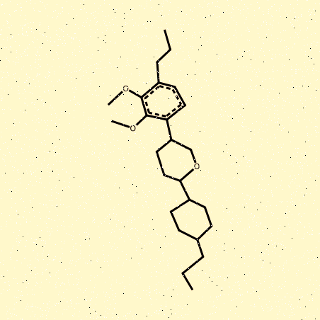 CCCc1ccc(C2CCC(C3CCC(CCC)CC3)OC2)c(OC)c1OC